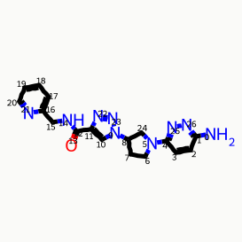 Nc1ccc(N2CCC(n3cc(C(=O)NCc4ccccn4)nn3)C2)nn1